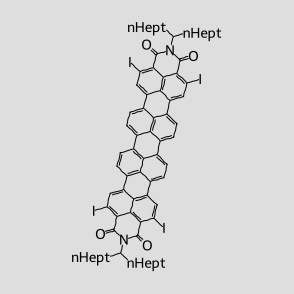 CCCCCCCC(CCCCCCC)N1C(=O)c2c(I)cc3c4ccc5c6ccc7c8cc(I)c9c%10c(c(I)cc(c%11ccc(c%12ccc(c%13cc(I)c(c2c3%13)C1=O)c4c5%12)c6c7%11)c%108)C(=O)N(C(CCCCCCC)CCCCCCC)C9=O